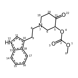 COC(=O)OC1CN(CCc2c[nH]c3ccccc23)CCC1=O